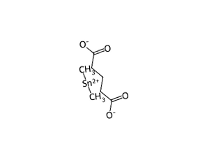 O=C([O-])CCCC(=O)[O-].[CH3][Sn+2][CH3]